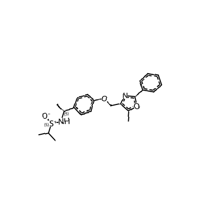 Cc1oc(-c2ccccc2)nc1COc1ccc([C@H](C)N[S@+]([O-])C(C)C)cc1